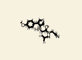 COc1ccc(-c2cscc2N[C@@H](CC(C)C)C(=O)NCC#N)cc1